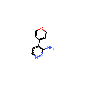 Nc1nnccc1C1=CCOC=C1